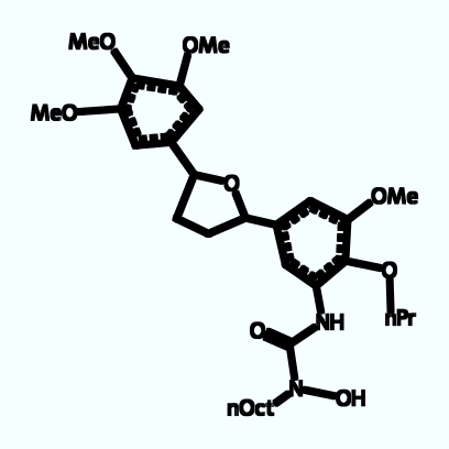 CCCCCCCCN(O)C(=O)Nc1cc(C2CCC(c3cc(OC)c(OC)c(OC)c3)O2)cc(OC)c1OCCC